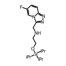 CC(C)[Si](OCCNCc1nnc2ccc(F)cn12)(C(C)C)C(C)C